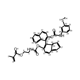 C=C(C)C(=O)OCCNC(=O)Oc1ccc2ccccc2c1-c1c(OC(=O)Nc2cccc(SC)c2)ccc2ccccc12